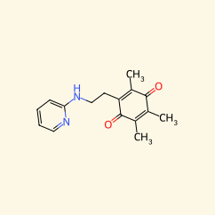 CC1=C(C)C(=O)C(CCNc2ccccn2)=C(C)C1=O